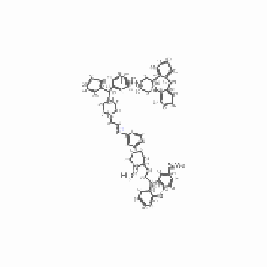 C(=C\c1ccccc1)/CN1CCN(C(c2ccccc2)c2ccccc2)CC1.CN1CCN2c3ccccc3Cc3ccccc3C2C1.CSc1ccc2c(c1)N(CCC1CCCCN1C)c1ccccc1S2